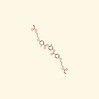 C=CC(=O)OCCCCOC1=CC=C(C(=O)Oc2ccc(OC(=O)c3ccc(OCCCCOC(=O)C=C)cc3)cc2C)C(C)C1